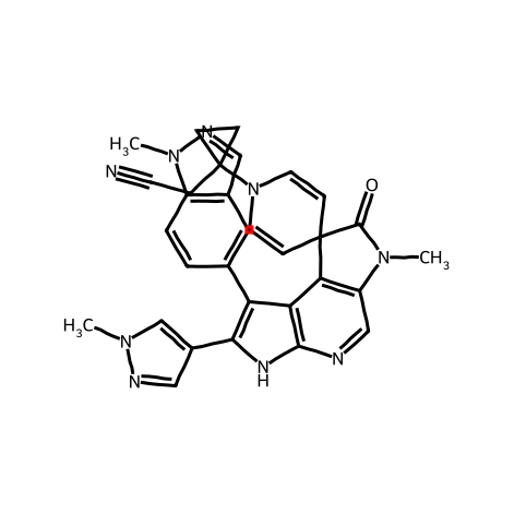 CN1C(=O)C2(C=CN(C3(CC#N)CC3)C=C2)c2c1cnc1[nH]c(-c3cnn(C)c3)c(-c3ccc4c(cnn4C)c3)c21